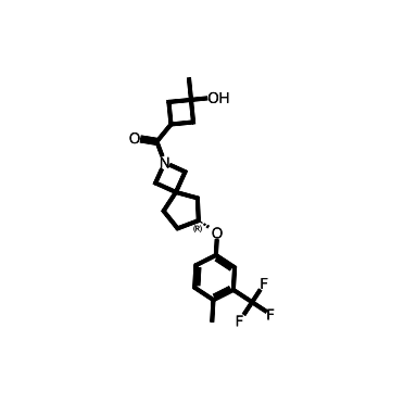 Cc1ccc(O[C@@H]2CCC3(C2)CN(C(=O)C2CC(C)(O)C2)C3)cc1C(F)(F)F